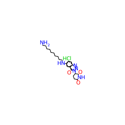 Cl.NCCCCCCCCCCNc1ccc2nnn(C3CCC(=O)NC3=O)c(=O)c2c1